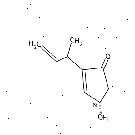 C=CC(C)C1=C[C@@H](O)CC1=O